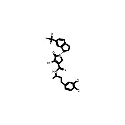 CC(CCc1ccc(Cl)c(Cl)c1)NC(=O)C1=C(O)C(=O)N([C@H]2CCc3ccc(C(F)(F)F)cc32)C1